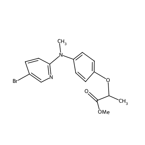 COC(=O)C(C)Oc1ccc(N(C)c2ccc(Br)cn2)cc1